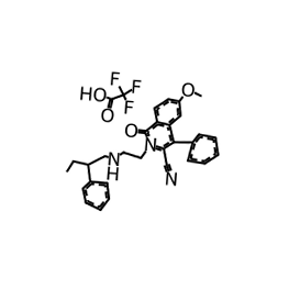 CCC(CNCCn1c(C#N)c(-c2ccccc2)c2cc(OC)ccc2c1=O)c1ccccc1.O=C(O)C(F)(F)F